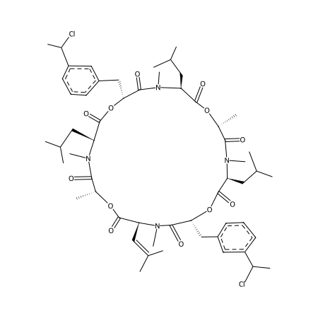 CC(C)=C[C@H]1C(=O)O[C@H](C)C(=O)N(C)[C@@H](CC(C)C)C(=O)O[C@H](Cc2cccc(C(C)Cl)c2)C(=O)N(C)[C@@H](CC(C)C)C(=O)O[C@H](C)C(=O)N(C)[C@@H](CC(C)C)C(=O)O[C@H](Cc2cccc(C(C)Cl)c2)C(=O)N1C